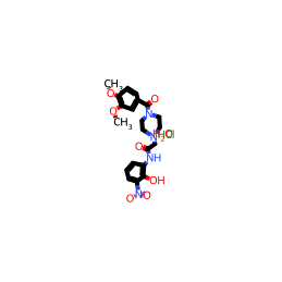 COc1ccc(C(=O)N2CCN(CC(=O)Nc3cccc([N+](=O)[O-])c3O)CC2)cc1OC.Cl.O